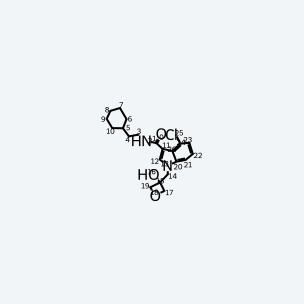 O=C(NCCC1CCCCC1)c1cn(CC2(O)COC2)c2cccc(Cl)c12